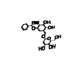 N#CC(O[C@@H]1C[C@H](CO[C@H]2C[C@@H](O)[C@H](O)[C@@H](CO)O2)[C@@H](O)[C@H](O)[C@H]1O)c1ccccc1